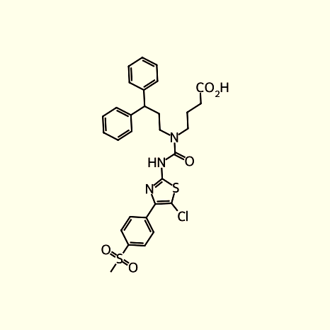 CS(=O)(=O)c1ccc(-c2nc(NC(=O)N(CCCC(=O)O)CCC(c3ccccc3)c3ccccc3)sc2Cl)cc1